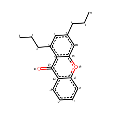 CCCc1cc(CCC)c2c(=O)c3ccccc3oc2c1